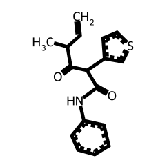 C=CC(C)C(=O)C(C(=O)Nc1ccccc1)c1ccsc1